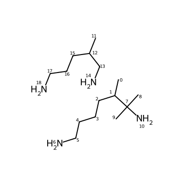 CC(CCCCN)C(C)(C)N.CC(CN)CCCN